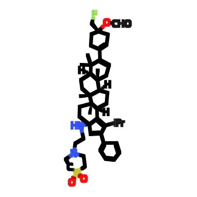 CC(C)C1=C2[C@H]3CC[C@@H]4[C@@]5(C)CC=C(C6=CC[C@@](CF)(OC=O)CC6)C(C)(C)[C@@H]5CC[C@@]4(C)[C@]3(C)CC[C@@]2(NCCN2CCS(=O)(=O)CC2)C=C1c1ccccc1